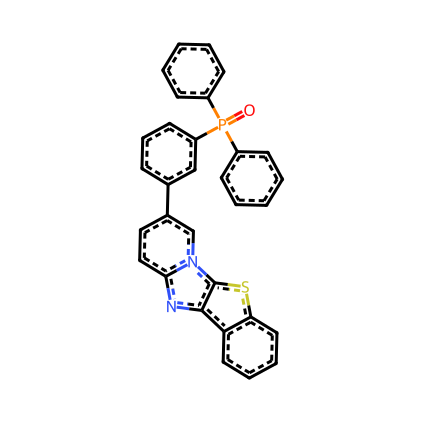 O=P(c1ccccc1)(c1ccccc1)c1cccc(-c2ccc3nc4c5ccccc5sc4n3c2)c1